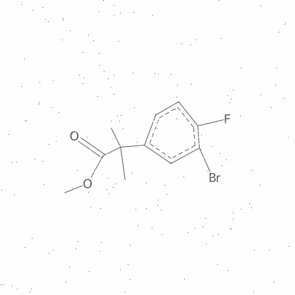 COC(=O)C(C)(C)c1ccc(F)c(Br)c1